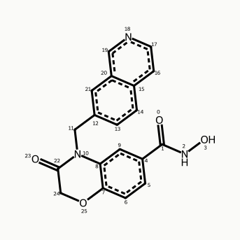 O=C(NO)c1ccc2c(c1)N(Cc1ccc3ccncc3c1)C(=O)CO2